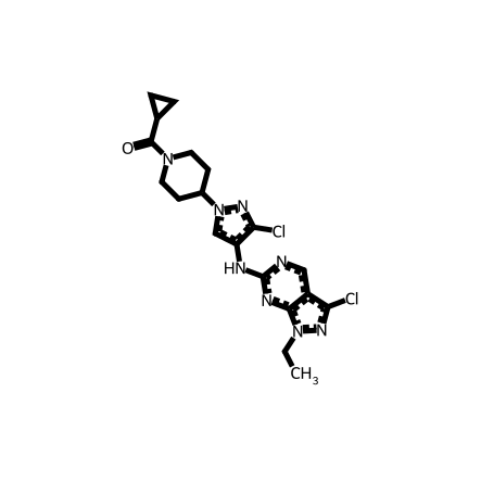 CCn1nc(Cl)c2cnc(Nc3cn(C4CCN(C(=O)C5CC5)CC4)nc3Cl)nc21